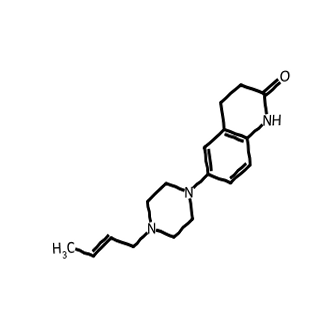 CC=CCN1CCN(c2ccc3c(c2)CCC(=O)N3)CC1